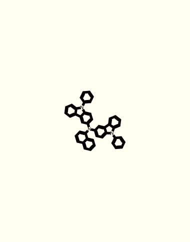 c1ccc(-n2c3ccccc3c3cc(N(c4ccc5c(c4)c4ccccc4n5-c4ccccc4)c4cccc5ccccc45)ccc32)cc1